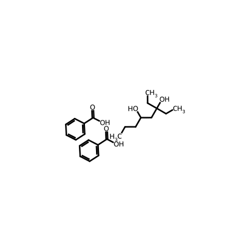 CCCC(O)CC(O)(CC)CC.O=C(O)c1ccccc1.O=C(O)c1ccccc1